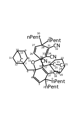 CCCCCC1(CCCCC)C=CC(CC23CCC(CC2)CC3)(OC2(CC34CCC(CC3)CC4)C=CC(CCCCC)(CCCCC)C(C#N)=C2C#N)C(C#N)=C1C#N